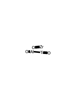 [O]=[Al][Ti]=[O].[O]=[Zr]